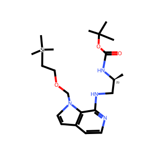 C[C@@H](CNc1nccc2ccn(COCC[Si](C)(C)C)c12)NC(=O)OC(C)(C)C